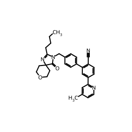 CCCCC1=NC2(CCOCC2)C(=O)N1Cc1ccc(-c2cc(-c3cc(C)ccn3)ccc2C#N)cc1